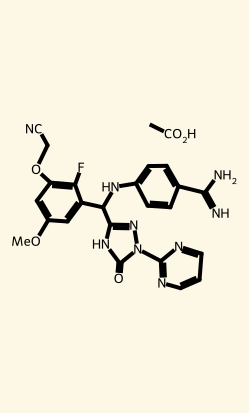 CC(=O)O.COc1cc(OCC#N)c(F)c(C(Nc2ccc(C(=N)N)cc2)c2nn(-c3ncccn3)c(=O)[nH]2)c1